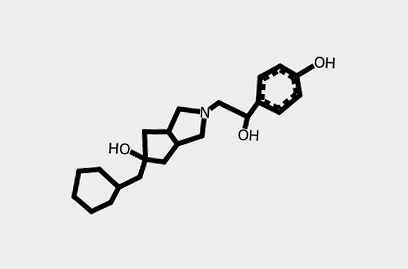 Oc1ccc(C(O)CN2CC3CC(O)(CC4CCCCC4)CC3C2)cc1